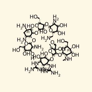 CN[C@@H]1[C@H](O[C@H]2[C@H](O[C@H]3[C@H](O)[C@@H](O)[C@H](NC(=N)N)[C@@H](O)[C@@H]3NC(=N)N)O[C@@H](C)[C@]2(O)C=O)O[C@@H](CO)[C@H](O)[C@H]1O.NC[C@@H]1O[C@H](O[C@H]2[C@@H](O)[C@H](O[C@@H]3[C@@H](O)[C@H](N)C[C@H](N)[C@H]3O[C@H]3O[C@H](CO)[C@@H](O)[C@H](O)[C@H]3N)O[C@@H]2CO)[C@H](N)[C@@H](O)[C@@H]1O